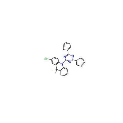 CC1(C)c2ccccc2N(c2nc(-c3ccccc3)nc(-c3ccccc3)n2)c2ccc(Br)cc21